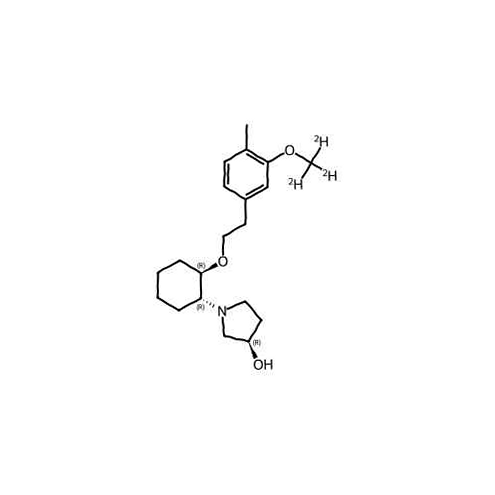 [2H]C([2H])([2H])Oc1cc(CCO[C@@H]2CCCC[C@H]2N2CC[C@@H](O)C2)ccc1C